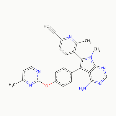 C#Cc1ccc(-c2c(-c3ccc(Oc4nccc(C)n4)cc3)c3c(N)ncnc3n2C)c(C)n1